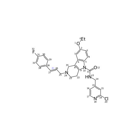 CCOc1ccc2c(c1)c1c(n2C(=O)NCc2ccnc(Cl)c2)CCN(C/C=C/c2ccc(F)cc2)C1